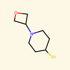 SC1CCN(C2COC2)CC1